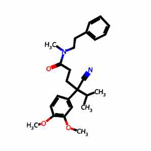 COc1ccc(C(C#N)(CCC(=O)N(C)CCc2ccccc2)C(C)C)cc1OC